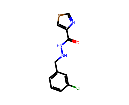 O=C(NNCc1cccc(Cl)c1)c1cscn1